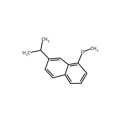 COc1cccc2ccc(C(C)C)cc12